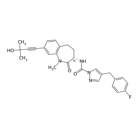 CN1C(=O)[C@@H](NC(=O)n2cc(Cc3ccc(F)cc3)cn2)CCc2ccc(C#CC(C)(C)O)cc21